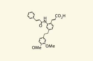 COc1ccc(CCc2ccc(C=CC(=O)O)c(NC(=O)C=Cc3ccccc3)c2)cc1OC